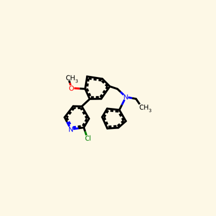 CCN(Cc1ccc(OC)c(-c2ccnc(Cl)c2)c1)c1ccccc1